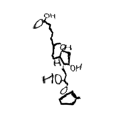 Cc1cccc(OC[C@H](O)C=C[C@@H]2[C@H]3CC=C(CCCCC(=O)O)CO[C@H]3C[C@H]2O)c1